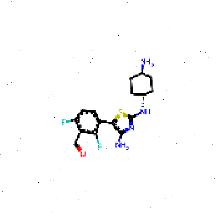 Nc1nc(N[C@H]2CC[C@H](N)CC2)sc1-c1ccc(F)c(C=O)c1F